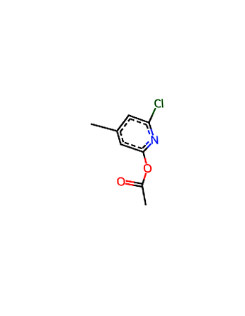 CC(=O)Oc1cc(C)cc(Cl)n1